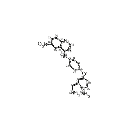 N/C=C1/C=C(Oc2ccc(Nc3ncnc4ccc([N+](=O)[O-])cc34)cc2)N=CN1N